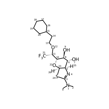 CN(C)C1=N[C@@H]2[C@@H](O)[C@H](O)[C@@H]([C@@H](OCCC3CCCCC3)C(F)(F)F)O[C@@H]2S1